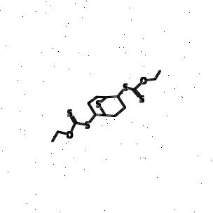 CCOC(=S)SC1CCC2SC1CCC2SC(=S)OCC